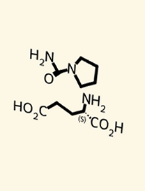 NC(=O)N1CCCC1.N[C@@H](CCC(=O)O)C(=O)O